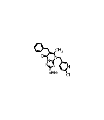 CSc1nc2n(Cc3ccc(Cl)nc3)c(C)c(Cc3ccccc3)c(=O)n2n1